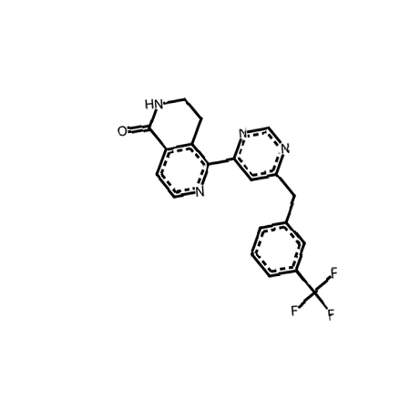 O=C1NCCc2c1ccnc2-c1cc(Cc2cccc(C(F)(F)F)c2)ncn1